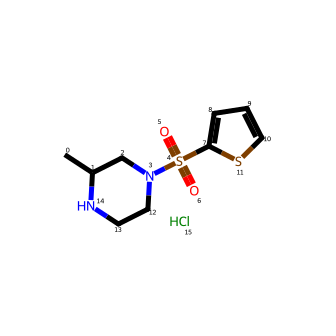 CC1CN(S(=O)(=O)c2cccs2)CCN1.Cl